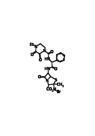 CCN1CCN(C(=O)NC(C(=O)NC2C(=O)N3C2SC(C)(CBr)C3C(=O)O)c2ccccc2)C(=O)C1=O